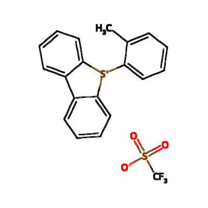 Cc1ccccc1-[s+]1c2ccccc2c2ccccc21.O=S(=O)([O-])C(F)(F)F